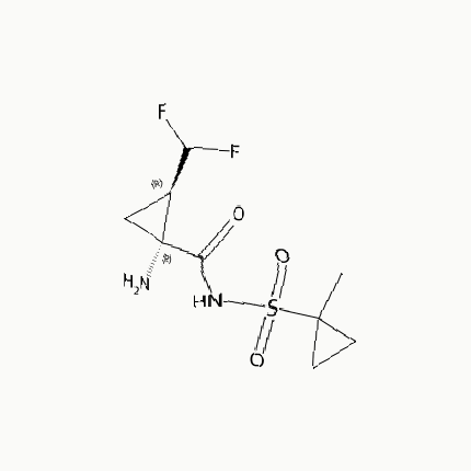 CC1(S(=O)(=O)NC(=O)[C@@]2(N)C[C@H]2C(F)F)CC1